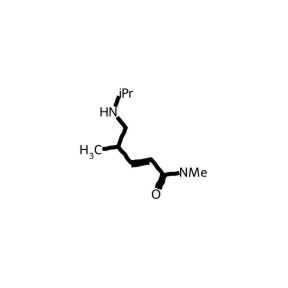 CNC(=O)C=CC(C)CNC(C)C